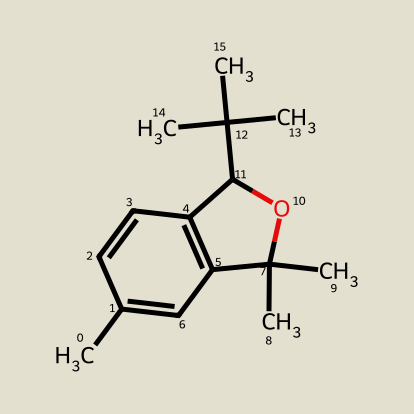 Cc1ccc2c(c1)C(C)(C)OC2C(C)(C)C